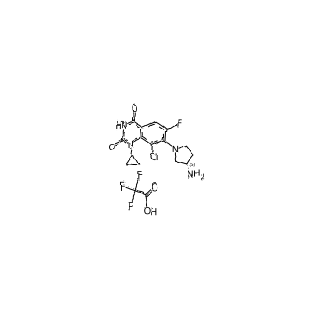 N[C@H]1CCN(c2c(F)cc3c(=O)[nH]c(=O)n(C4CC4)c3c2Cl)C1.O=C(O)C(F)(F)F